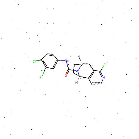 O=C(Nc1ccc(Cl)c(Cl)c1)N1[C@H]2CC[C@@H]1c1ccnc(Cl)c1C2